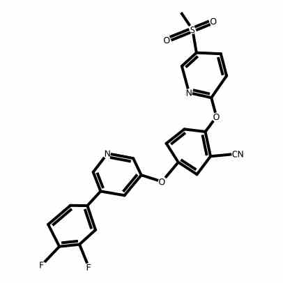 CS(=O)(=O)c1ccc(Oc2ccc(Oc3cncc(-c4ccc(F)c(F)c4)c3)cc2C#N)nc1